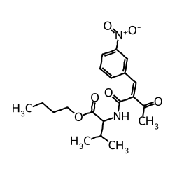 CCCCOC(=O)C(NC(=O)C(=Cc1cccc([N+](=O)[O-])c1)C(C)=O)C(C)C